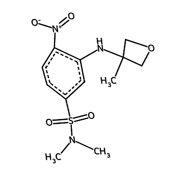 CN(C)S(=O)(=O)c1ccc([N+](=O)[O-])c(NC2(C)COC2)c1